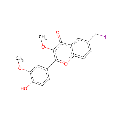 COc1cc(-c2oc3ccc(CI)cc3c(=O)c2OC)ccc1O